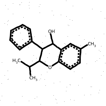 Cc1ccc2c(c1)C(O)C(c1ccccc1)C(C(C)C)O2